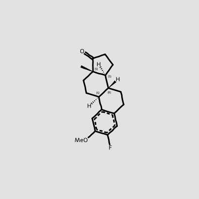 COc1cc2c(cc1F)CC[C@@H]1[C@@H]2CC[C@]2(C)C(=O)CC[C@@H]12